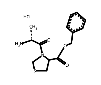 C[C@@H](N)C(=O)N1CSCC1C(=O)OCc1ccccc1.Cl